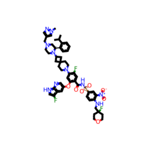 CC(C)c1ccccc1[C@@H]1CN(Cc2cnn(C)c2)CCN1C1CC2(CCN(c3cc(Oc4cnc5[nH]cc(F)c5c4)c(C(=O)NS(=O)(=O)c4ccc(NCC5(F)CCOCC5)c([N+](=O)[O-])c4)cc3F)CC2)C1